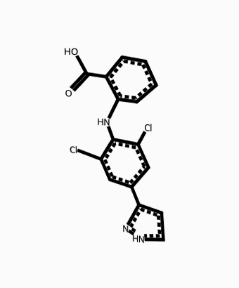 O=C(O)c1ccccc1Nc1c(Cl)cc(-c2cc[nH]n2)cc1Cl